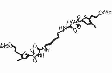 COCCc1sc(S(=O)(=O)NC(=O)NCCCCCCNC(=O)NS(=O)(=O)c2cc(C)c(CCOC)s2)cc1C